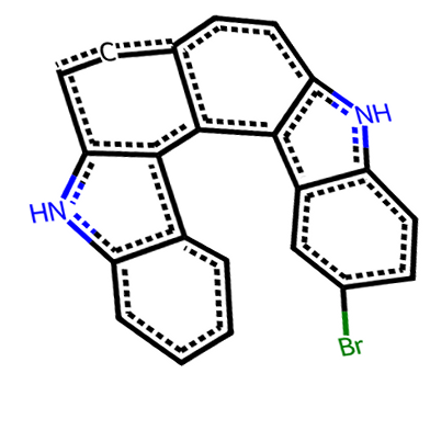 Brc1ccc2[nH]c3ccc4ccc5[nH]c6ccccc6c5c4c3c2c1